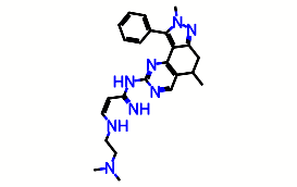 CC1Cc2nn(C)c(-c3ccccc3)c2-c2nc(NC(=N)/C=C\NCCN(C)C)ncc21